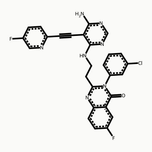 Nc1ncnc(NCCc2nc3ccc(F)cc3c(=O)n2-c2cccc(Cl)c2)c1C#Cc1ccc(F)cn1